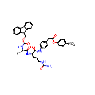 CC(C)C(NC(=O)OCC1c2ccccc2-c2ccccc21)C(=O)NC(CCCNC(N)=O)C(=O)Nc1ccc(CC(=O)Oc2ccc([N+](=O)[O-])cc2)cc1